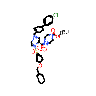 CC(C)(C)OC(=O)N1CCN(C(=O)[C@H]2CN(Cc3ccc(-c4ccc(Cl)cc4)cc3)CCN2S(=O)(=O)c2ccc(OCC3CCCCC3)cc2)CC1